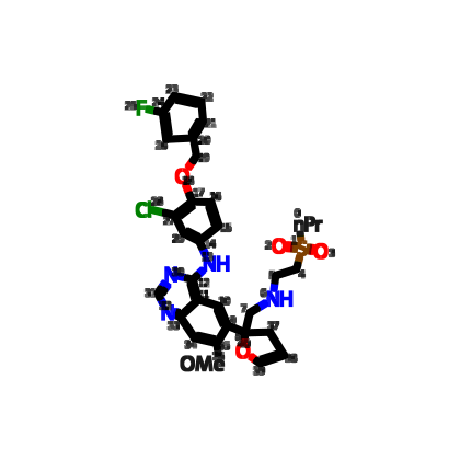 CCCS(=O)(=O)CCNCC1(c2cc3c(Nc4ccc(OCc5cccc(F)c5)c(Cl)c4)ncnc3cc2OC)CC=CO1